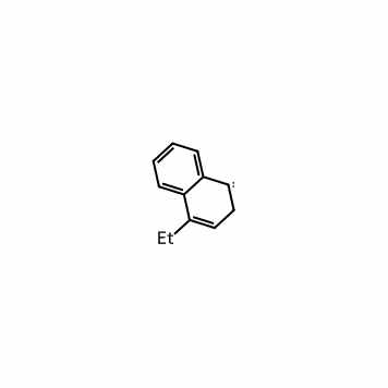 CCC1=CC[C]c2ccccc21